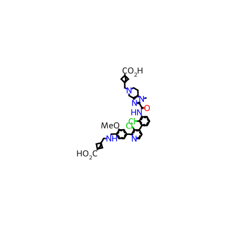 COc1cc(-c2nccc(-c3cccc(NC(=O)c4nc5c(n4C)CCN(CC46CC(C(=O)O)(C4)C6)C5)c3Cl)c2Cl)ccc1CNCC12CC(C(=O)O)(C1)C2